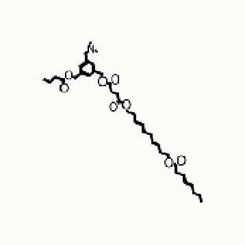 CCCCCCCC(=O)OCCCCCCCCCCOC(=O)CCC(=O)OCc1cc(COC(=O)CCC)cc(CN(C)C)c1